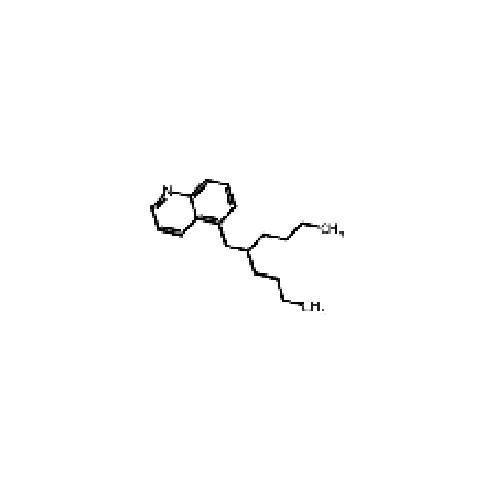 CCCCC(CCCC)Cc1cccc2ncccc12